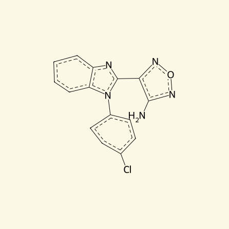 Nc1nonc1-c1nc2ccccc2n1-c1ccc(Cl)cc1